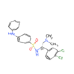 CN(C)C[C@@H](NS(=O)(=O)c1ccc(Nc2ccccc2)cc1)c1ccc(Cl)c(Cl)c1